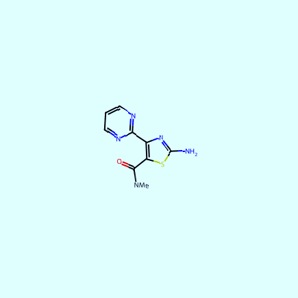 CNC(=O)c1sc(N)nc1-c1ncccn1